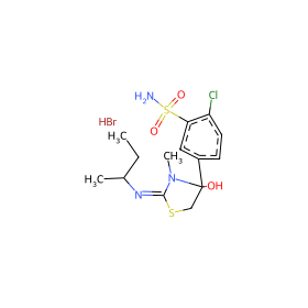 Br.CCC(C)N=C1SCC(O)(c2ccc(Cl)c(S(N)(=O)=O)c2)N1C